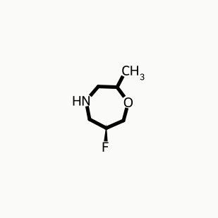 CC1CNC[C@H](F)CO1